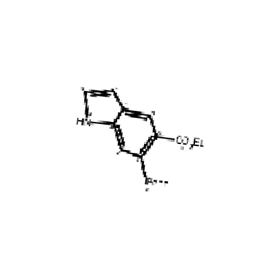 CCCC(C)c1cc2[nH]ccc2cc1C(=O)OCC